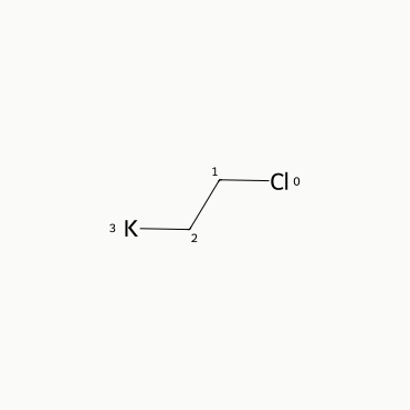 ClC[CH2][K]